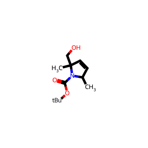 CC1C=CC(C)(CO)N1C(=O)OC(C)(C)C